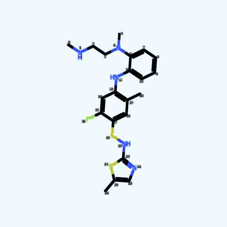 CNCCN(C)c1ccccc1Nc1cc(F)c(SNc2ncc(C)s2)cc1C